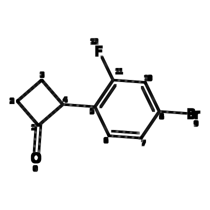 O=C1CCC1c1ccc(Br)cc1F